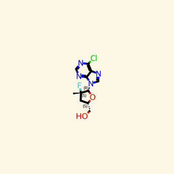 C[C@]1(F)C[C@@H](CO)O[C@H]1n1cnc2c(Cl)ncnc21